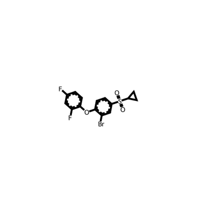 O=S(=O)(c1ccc(Oc2ccc(F)cc2F)c(Br)c1)C1CC1